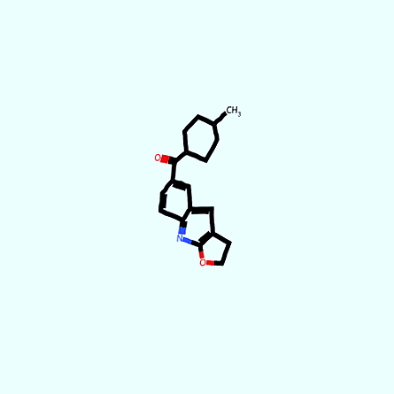 CC1CCC(C(=O)c2ccc3nc4c(cc3c2)CCO4)CC1